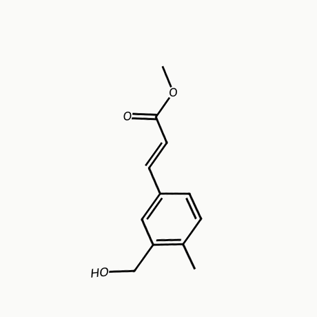 COC(=O)C=Cc1ccc(C)c(CO)c1